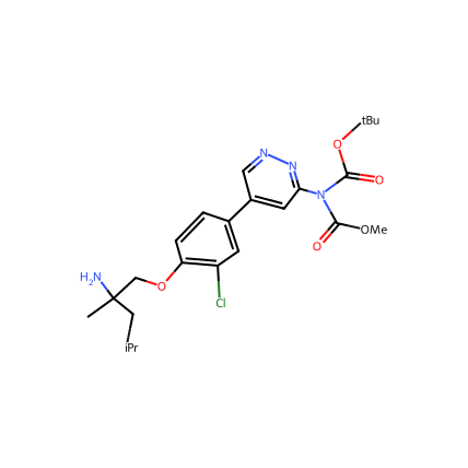 COC(=O)N(C(=O)OC(C)(C)C)c1cc(-c2ccc(OCC(C)(N)CC(C)C)c(Cl)c2)cnn1